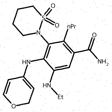 CCCc1c(C(N)=O)cc(NCC)c(NC2=CCOC=C2)c1N1CCCCS1(=O)=O